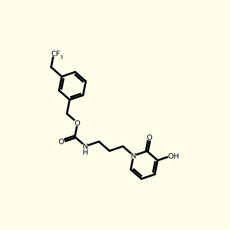 O=C(NCCCn1cccc(O)c1=O)OCc1cccc(CC(F)(F)F)c1